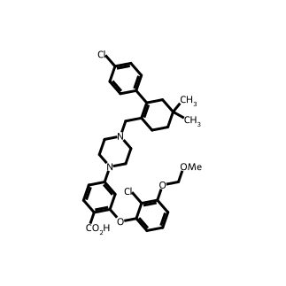 COCOc1cccc(Oc2cc(N3CCN(CC4=C(c5ccc(Cl)cc5)CC(C)(C)CC4)CC3)ccc2C(=O)O)c1Cl